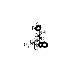 N=C(N)N[C@H]1Cc2ccccc2[C@@H]1NC(=O)C(=O)Nc1ccc(Cl)c(F)c1